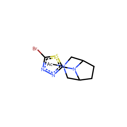 CC(=O)N1CC2CCC(C1)N2c1nnc(Br)s1